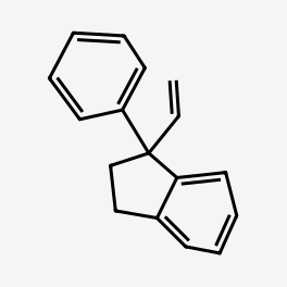 C=CC1(c2ccccc2)CCc2ccccc21